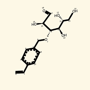 C=Cc1ccc(CO[C@@H]([C@H](O)[C@H](O)CO)[C@@H](O)C=O)cc1